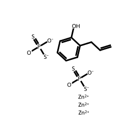 C=CCc1ccccc1O.[O-]P([O-])(=S)[S-].[O-]P([O-])(=S)[S-].[Zn+2].[Zn+2].[Zn+2]